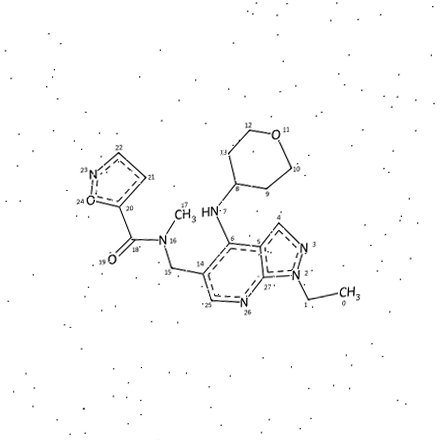 CCn1ncc2c(NC3CCOCC3)c(CN(C)C(=O)c3ccno3)cnc21